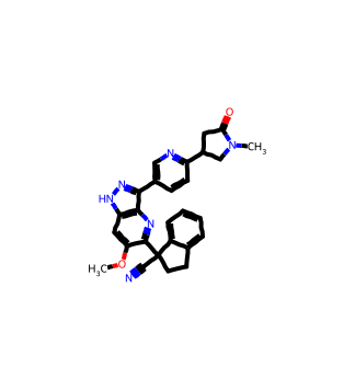 COc1cc2[nH]nc(-c3ccc(C4CC(=O)N(C)C4)nc3)c2nc1C1(C#N)CCc2ccccc21